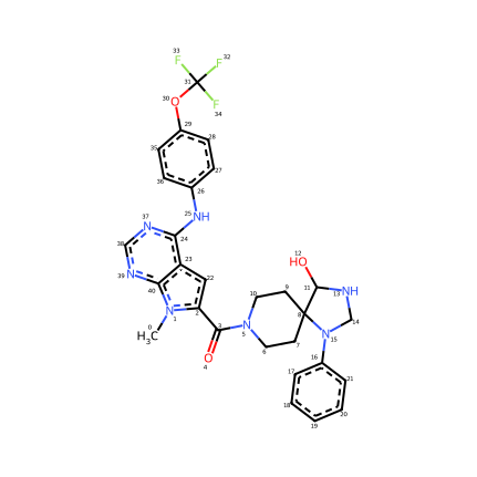 Cn1c(C(=O)N2CCC3(CC2)C(O)NCN3c2ccccc2)cc2c(Nc3ccc(OC(F)(F)F)cc3)ncnc21